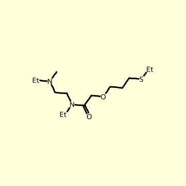 CCSCCCOCC(=O)N(CC)CCN(C)CC